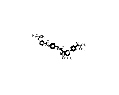 CC(C)n1nc(C(=O)NCc2ccc(NC(=O)N3CC[C@H](CN(C)C)C3)cc2)c2c1[C@@H](C)CN(c1ccc(C(=O)N(C)C)cc1)C2